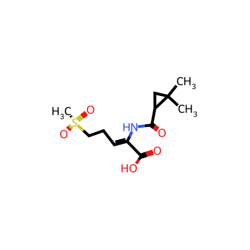 CC1(C)CC1C(=O)N/C(=C\CCS(C)(=O)=O)C(=O)O